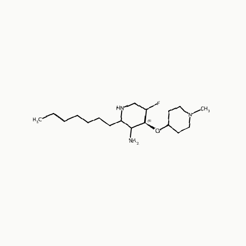 CCCCCCCC1NCC(F)[C@@H](OC2CCN(C)CC2)C1N